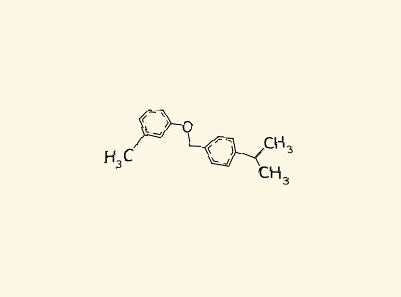 Cc1cccc(OCc2ccc(C(C)C)cc2)c1